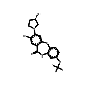 O=C1Nc2cc(OC(F)(F)F)ccc2Oc2cc(N3CC[C@@H](O)C3)c(Br)cc21